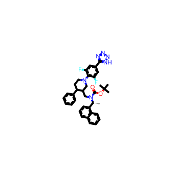 C[C@H](c1cccc2ccccc12)N(CC1CN(c2c(F)cc(-c3nnn[nH]3)cc2F)CCC1c1ccccc1)C(=O)OC(C)(C)C